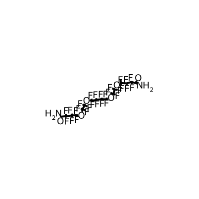 NC(=O)C(F)(F)C(F)(F)C(F)(F)OC(F)(F)C(F)(F)OC(F)(F)C(F)(F)C(F)(F)C(F)(F)OC(F)(F)C(F)(F)OC(F)(F)C(F)(F)C(F)(F)C(N)=O